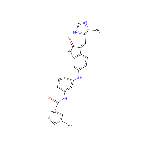 Cc1nc[nH]c1C=C1C(=O)Nc2cc(Nc3cccc(NC(=O)c4cccc(C(F)(F)F)c4)c3)ccc21